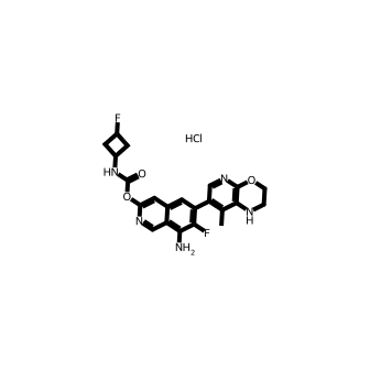 Cc1c(-c2cc3cc(OC(=O)NC4CC(F)C4)ncc3c(N)c2F)cnc2c1NCCO2.Cl